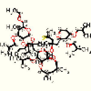 CCCCC(C)(C[C@H]1O[C@H](OC(C)(CC(C)=S)C[C@H]2OCC[C@@H](OCC(C)C)[C@@H]2OCC(C)C)[C@@H]2OC[C@H](C)C[C@H](C)CO[C@H]2[C@@H]1OCC(C)C)O[C@H]1O[C@H](COCC)[C@@H](C)[C@H](OCC(C)C)[C@H]1OCC(C)C